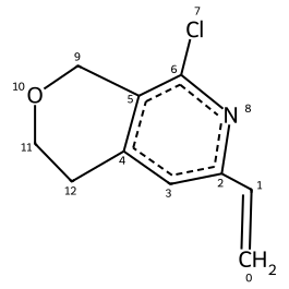 C=Cc1cc2c(c(Cl)n1)COCC2